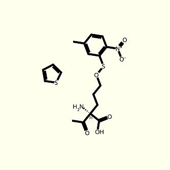 CC(=O)[C@@](N)(CCCOSc1cc(C)ccc1[N+](=O)[O-])C(=O)O.c1ccsc1